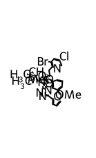 COc1cccc(OC)c1-n1c(-c2ccco2)nnc1N(CCS(C)(C)C)S(=O)(=O)CCc1ncc(Cl)cc1Br